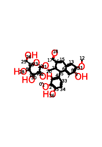 COc1cc(C2c3cc(O)c(OC)cc3C=C(C=O)C2COC2O[C@H](CO)[C@@H](O)[C@H](O)[C@H]2O)ccc1O